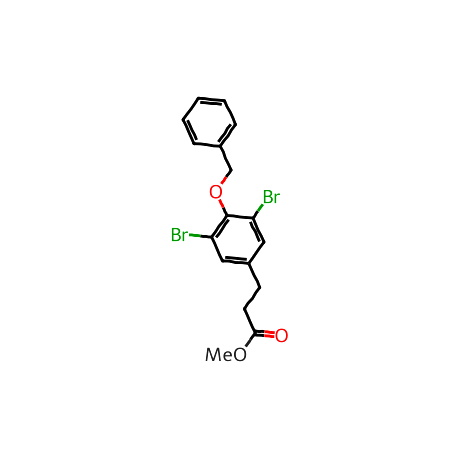 COC(=O)CCc1cc(Br)c(OCc2ccccc2)c(Br)c1